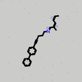 C\C=C/C=C(C)\C=N\CCCC#Cc1ccc(-c2ccccc2)cc1